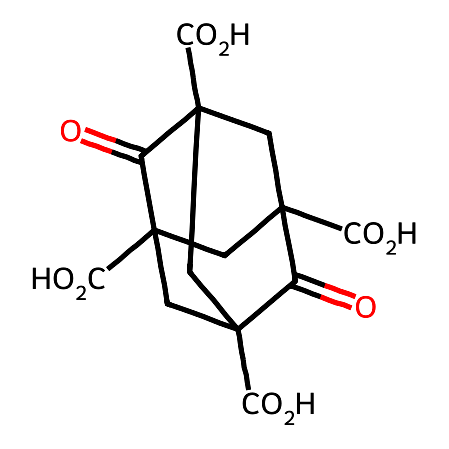 O=C(O)C12CC3(C(=O)O)CC(C(=O)O)(CC(C(=O)O)(C1)C3=O)C2=O